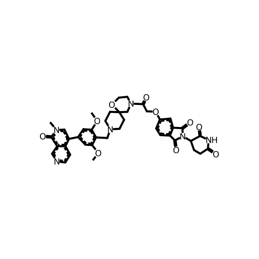 COc1cc(-c2cn(C)c(=O)c3cnccc23)cc(OC)c1CN1CCC2(CC1)CN(C(=O)COc1ccc3c(c1)C(=O)N(C1CCC(=O)NC1=O)C3=O)CCO2